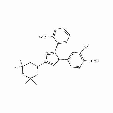 COc1ccc(-n2cc(C3CC(C)(C)OC(C)(C)C3)nc2-c2ccccc2OC)cc1C#N